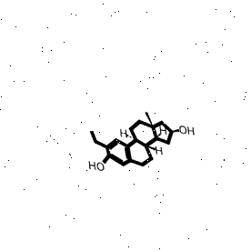 CCc1cc2c(cc1O)CC[C@@H]1[C@@H]2CC[C@]2(C)C[C@@H](O)C[C@@H]12